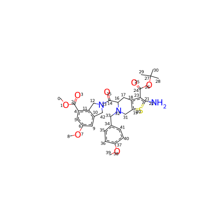 COC(=O)c1cc(OC)cc2c1CN(C(=O)C1Cc3c(sc(N)c3C(=O)OC(C)(C)C)CN1Cc1ccc(OC)cc1)C2